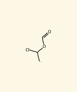 [CH2]C(Cl)OC=O